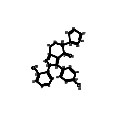 O=C1c2c(nn(-c3ccccc3Cl)c2-c2ccc(Cl)cc2)CCN1c1ccccc1